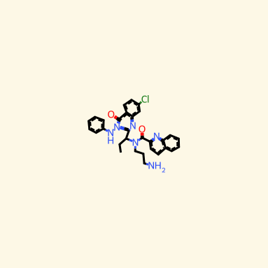 CCC(c1nc2cc(Cl)ccc2c(=O)n1Nc1ccccc1)N(CCCN)C(=O)c1ccc2ccccc2n1